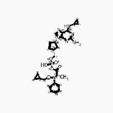 C[C@@H](C(=O)OP(=O)(O)OC[C@@H]1C=C[C@H](n2cnc3c(NC4CC4)nc(N)nc32)C1)N(OCC1CC1)c1ccccc1